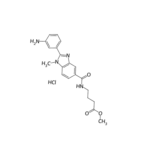 COC(=O)CCCNC(=O)c1ccc2c(c1)nc(-c1cccc(N)c1)n2C.Cl